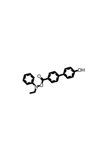 CCN(OC(=O)c1ccc(-c2ccc(O)cc2)cc1)c1ccccc1